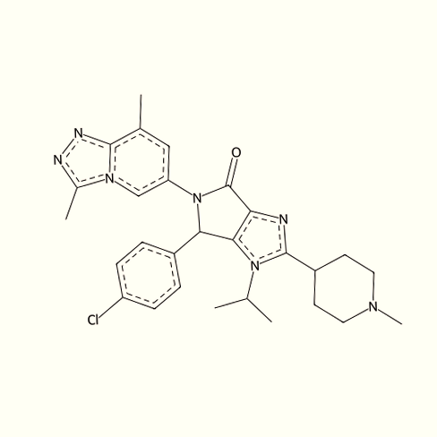 Cc1cc(N2C(=O)c3nc(C4CCN(C)CC4)n(C(C)C)c3C2c2ccc(Cl)cc2)cn2c(C)nnc12